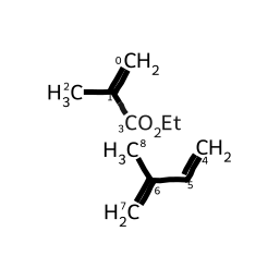 C=C(C)C(=O)OCC.C=CC(=C)C